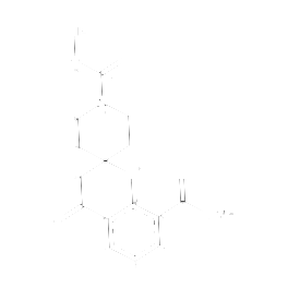 COC(=O)c1cccc2c1OC1(CCN(C(=O)OC(C)(C)C)CC1)CC2=O